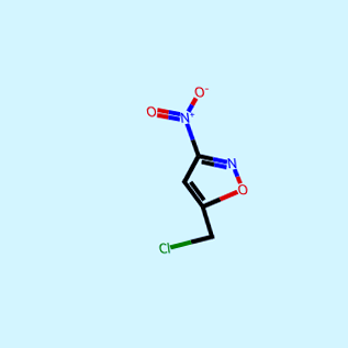 O=[N+]([O-])c1cc(CCl)on1